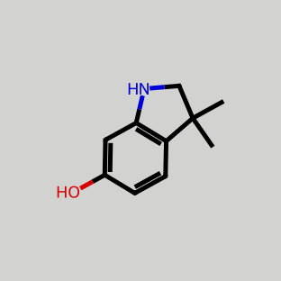 CC1(C)CNc2cc(O)ccc21